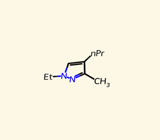 CCCc1cn(CC)nc1C